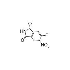 O=C1NC(=O)c2cc([N+](=O)[O-])c(F)cc21